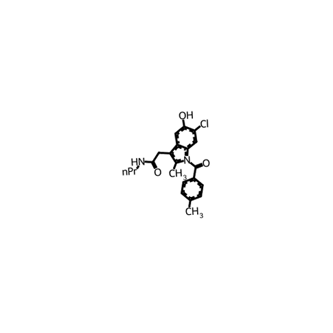 CCCNC(=O)Cc1c(C)n(C(=O)c2ccc(C)cc2)c2cc(Cl)c(O)cc12